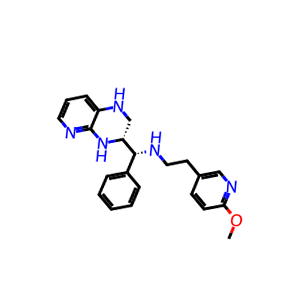 COc1ccc(CCN[C@H](c2ccccc2)[C@H]2CNc3cccnc3N2)cn1